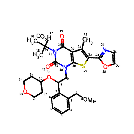 COCc1ccccc1C(Cn1c(=O)n(C(C)(C)C(=O)O)c(=O)c2c(C)c(-c3ncco3)sc21)OC1CCOCC1